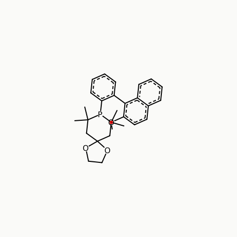 COc1ccc2ccccc2c1-c1ccccc1P1C(C)(C)CC2(CC1(C)C)OCCO2